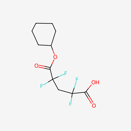 O=C(O)C(F)(F)CC(F)(F)C(=O)OC1CCCCC1